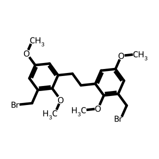 COc1cc(CBr)c(OC)c(CCc2cc(OC)cc(CBr)c2OC)c1